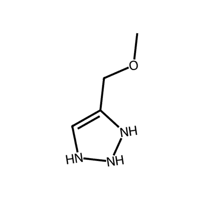 COCC1=CNNN1